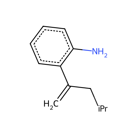 C=C(CC(C)C)c1ccccc1N